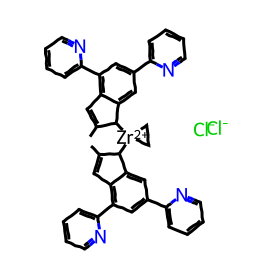 CC1=Cc2c(-c3ccccn3)cc(-c3ccccn3)cc2[CH]1[Zr+2]1([CH]2C(C)=Cc3c(-c4ccccn4)cc(-c4ccccn4)cc32)[CH2][CH2]1.[Cl-].[Cl-]